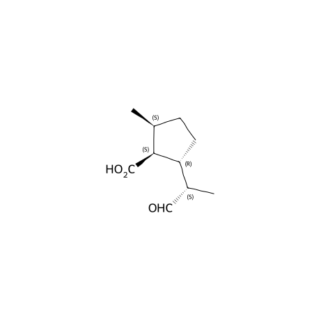 C[C@H](C=O)[C@H]1CC[C@H](C)[C@@H]1C(=O)O